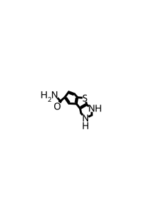 NC(=O)c1ccc2sc3c(c2c1)CNCN3